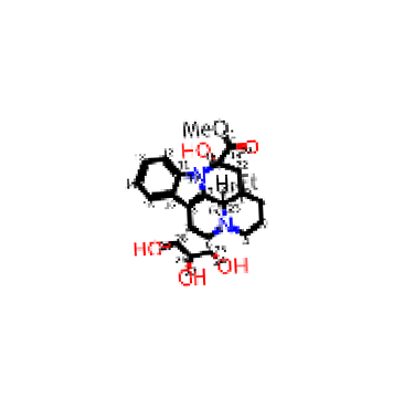 CC[C@]12CCCN3CCc4c(n(c5ccccc45)[C@@](O)(C(=O)OC)C1)[C@@H]32.OCC(O)CO